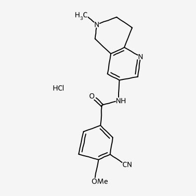 COc1ccc(C(=O)Nc2cnc3c(c2)CN(C)CC3)cc1C#N.Cl